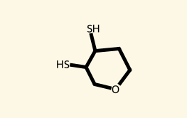 SC1CCOCC1S